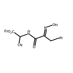 CCOC(=O)C(C#N)NC(=O)C(CC(C)C)=NO